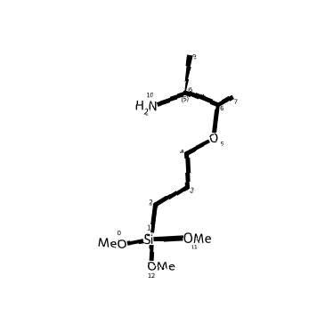 CO[Si](CCCOC(C)[C@H](C)N)(OC)OC